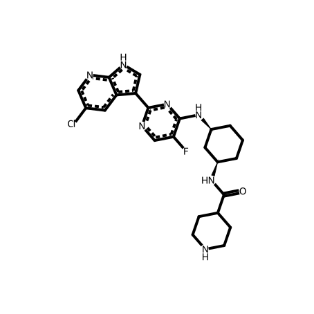 O=C(N[C@@H]1CCC[C@H](Nc2nc(-c3c[nH]c4ncc(Cl)cc34)ncc2F)C1)C1CCNCC1